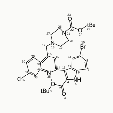 CC(C)(C)OC(=O)c1[nH]c2ccc(Br)cc2c1-c1cc(CN2CCN(C(=O)OC(C)(C)C)CC2)c2ccc(Cl)cc2n1